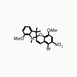 COc1cc([N+](=O)[O-])c(Br)c2c1OC1(C=C2)N(C)c2c(OC)cccc2C1(C)C